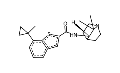 CC1(c2cccc3cc(C(=O)N[C@H]4C5CCN(CC5)C4(C)C)sc23)CC1